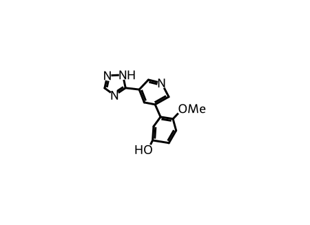 COc1ccc(O)cc1-c1cncc(-c2ncn[nH]2)c1